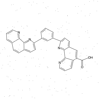 O=C(O)c1cc2ccc(-c3cccc(-c4ccc5ccc6cccnc6c5n4)c3)nc2c2ncccc12